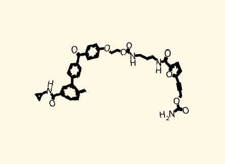 Cc1ccc(C(=O)NC2CC2)cc1-c1ccc(C(=O)c2ccc(OCCOC(=O)NCCCNC(=O)c3ccc(C#CCOC(N)=O)o3)cc2)cc1